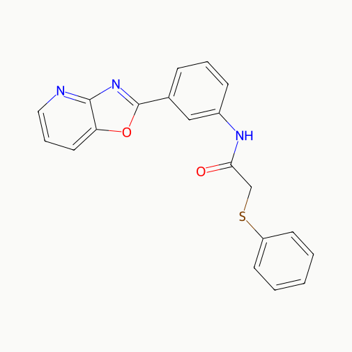 O=C(CSc1ccccc1)Nc1cccc(-c2nc3ncccc3o2)c1